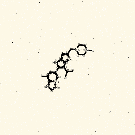 Cc1cc(-c2[nH]c3cc(CN4CCN(C)CC4)sc3c2C(C)C)cn2ncnc12